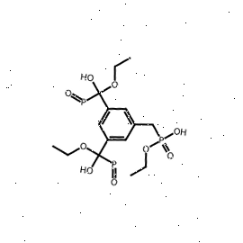 CCOC(O)(P=O)c1cc(CP(=O)(O)OCC)cc(C(O)(OCC)P=O)c1